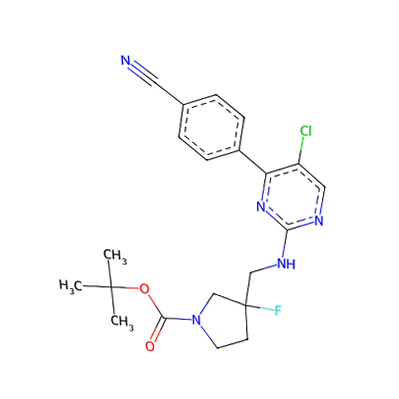 CC(C)(C)OC(=O)N1CCC(F)(CNc2ncc(Cl)c(-c3ccc(C#N)cc3)n2)C1